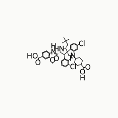 COc1cc(C(=O)O)ccc1NC(=O)[C@@H]1N[C@@H](CC(C)(C)C)[C@@]2(CN(C3CCC(C(=O)O)CC3)c3cc(Cl)ccc32)[C@H]1c1cccc(Cl)c1F